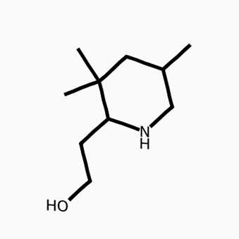 CC1CNC(CCO)C(C)(C)C1